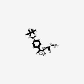 CC(c1ccc(B2OC(C)(C)C(C)(C)O2)cc1)[C@H](NC(=O)OC(C)(C)C)C(=O)O